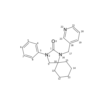 O=C1N(c2ccccc2)CC2(CCCCC2)N1Cc1cccnc1